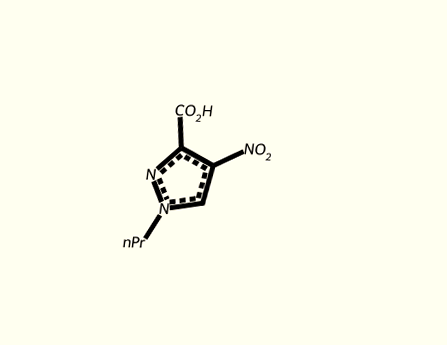 CCCn1cc([N+](=O)[O-])c(C(=O)O)n1